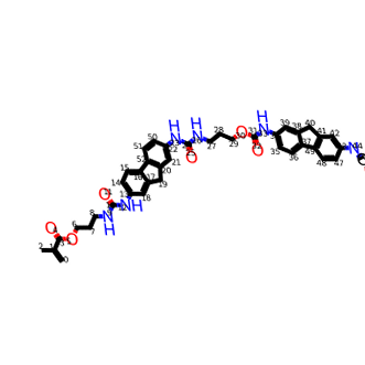 C=C(C)C(=O)OCCCNC(=O)Nc1ccc2c(c1)Cc1cc(NC(=O)NCCCOC(=O)Nc3ccc4c(c3)Cc3cc(N=C=O)ccc3-4)ccc1-2